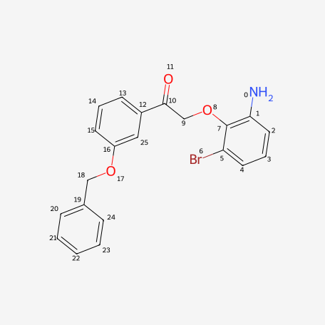 Nc1cccc(Br)c1OCC(=O)c1cccc(OCc2ccccc2)c1